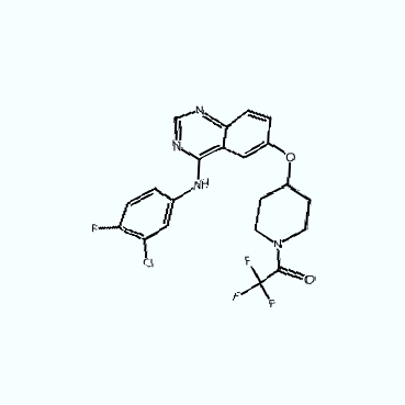 O=C(N1CCC(Oc2ccc3ncnc(Nc4ccc(F)c(Cl)c4)c3c2)CC1)C(F)(F)F